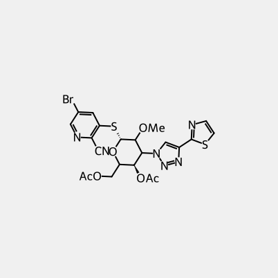 COC1C(n2cc(-c3nccs3)nn2)[C@@H](OC(C)=O)C(COC(C)=O)O[C@@H]1Sc1cc(Br)cnc1C#N